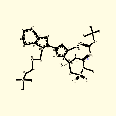 CN1/C(=N/C(=O)OC(C)(C)C)N[C@](C)(c2sc(-c3cc4ncccc4n3COCC[Si](C)(C)C)cc2Cl)CS1(=O)=O